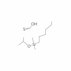 CCCCCC[Si](C)(C)OC(C)C.OC=S